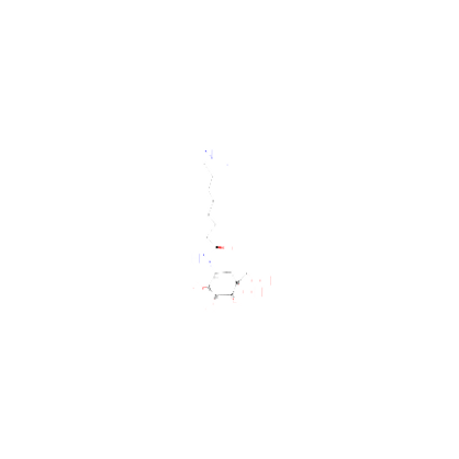 NCCCCCCCC(=O)N[C@H]1C[C@](O)(CO)[C@@H](O)[C@H](O)[C@H]1O